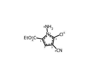 CCOC(=O)c1cc(C#N)c(Cl)n1N